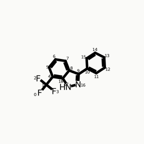 FC(F)(F)c1cccc2c(-c3ccccc3)n[nH]c12